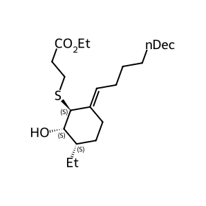 CCCCCCCCCCCCCC=C1CC[C@H](CC)[C@H](O)[C@H]1SCCC(=O)OCC